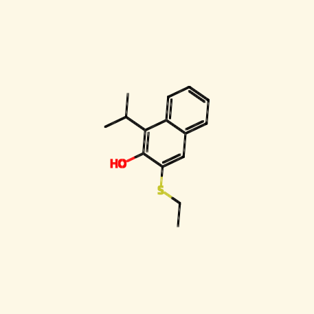 CCSc1cc2ccccc2c(C(C)C)c1O